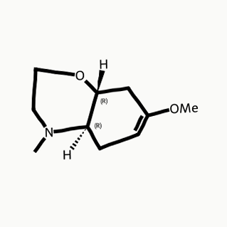 COC1=CC[C@@H]2[C@@H](C1)OCCN2C